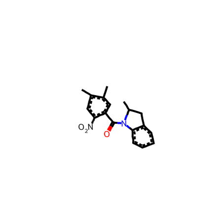 Cc1cc(C(=O)N2c3ccccc3CC2C)c([N+](=O)[O-])cc1C